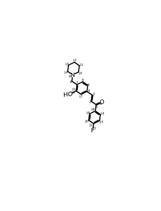 O=C(/C=C/c1ccc(CN2CCCCC2)c(O)c1)c1ccc(F)cc1